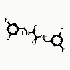 O=C(NCc1cc(F)cc(F)c1)C(=O)NCc1cc(F)cc(F)c1